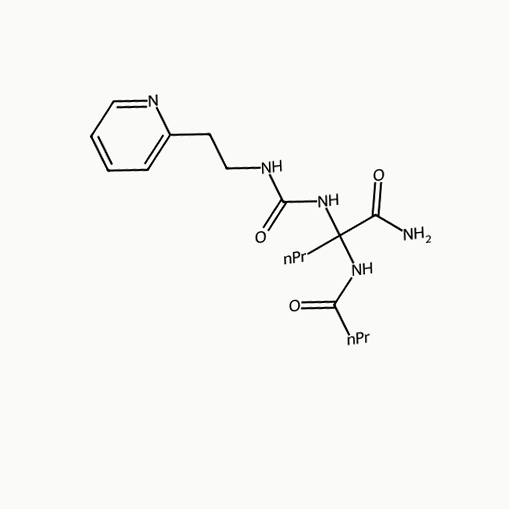 CCCC(=O)NC(CCC)(NC(=O)NCCc1ccccn1)C(N)=O